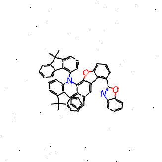 CC1(C)c2ccccc2-c2c(N(c3cccc4c3-c3ccccc3C4(C)C)c3c4ccccc4cc4c3oc3cccc(-c5nc6ccccc6o5)c34)cccc21